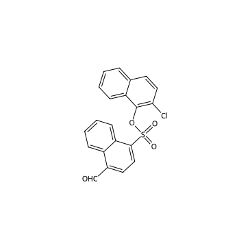 O=Cc1ccc(S(=O)(=O)Oc2c(Cl)ccc3ccccc23)c2ccccc12